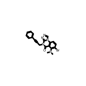 CN(C)c1c(Br)ccc2c1c(=O)n(CC#Cc1ccccc1)c1nncn21